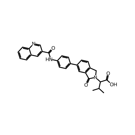 CC(C)C(C(=O)O)N1Cc2ccc(-c3ccc(NC(=O)c4cnc5ccccc5c4)cc3)cc2C1=O